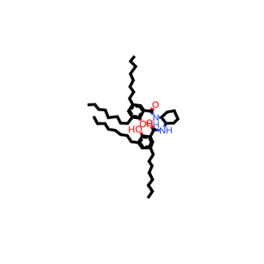 CCCCCCCCc1cc(CCCCCCCC)c(O)c(C(=O)NC2CCCCC2NC(=O)c2cc(CCCCCCCC)cc(CCCCCCCC)c2O)c1